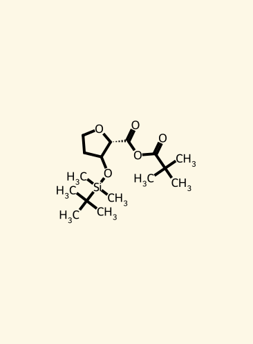 CC(C)(C)C(=O)OC(=O)[C@H]1OCCC1O[Si](C)(C)C(C)(C)C